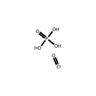 O=P(O)(O)O.[O]=[Cr]